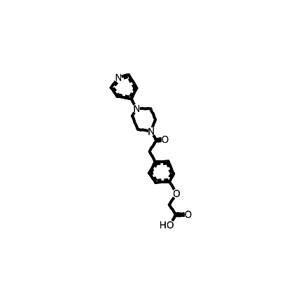 O=C(O)COc1ccc(CC(=O)N2CCN(c3ccncc3)CC2)cc1